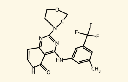 Cc1cc(Nc2nc(N3CCOCC3)nc3cc[nH]c(=O)c23)cc(C(F)(F)F)c1